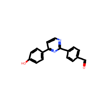 O=Cc1ccc(-c2nccc(-c3ccc(O)cc3)n2)cc1